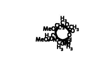 COCO/N=C1\[C@H](C)C[C@@](C)(OC)C[C@@H](C)C(=O)[C@@H](C)C(=O)O[C@H](I)[C@@](C)(O)[C@H](O)[C@H]1C